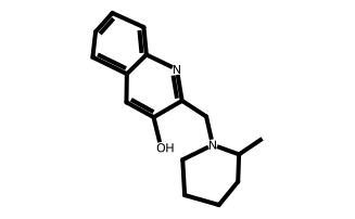 CC1CCCCN1Cc1nc2ccccc2cc1O